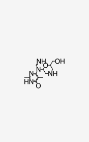 Cc1nc(N(C=N)C2CNCC(CO)O2)c(C)c(=O)[nH]1